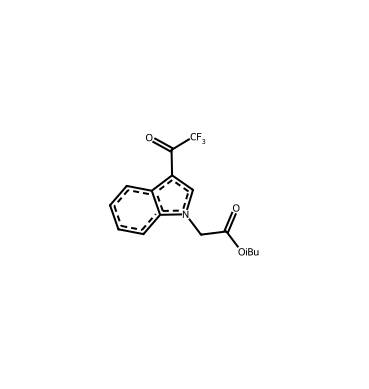 CC(C)COC(=O)Cn1cc(C(=O)C(F)(F)F)c2ccccc21